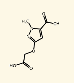 Cn1nc(OCC(=O)O)cc1C(=O)O